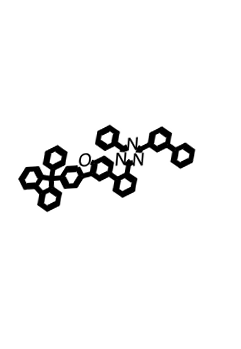 c1ccc(-c2cccc(-c3nc(-c4ccccc4)nc(-c4ccccc4-c4ccc5oc6cc(C7(c8ccccc8)c8ccccc8-c8ccccc87)ccc6c5c4)n3)c2)cc1